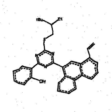 C=Cc1cccc2c1cc(-c1nc(SCC(CC)CCCC)nc(-c3ccccc3O)n1)c1ccccc12